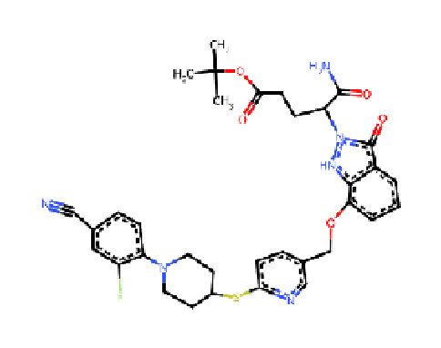 CC(C)(C)OC(=O)CCC(C(N)=O)n1[nH]c2c(OCc3ccc(SC4CCN(c5ccc(C#N)cc5F)CC4)nc3)cccc2c1=O